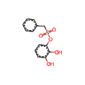 O=S(=O)(Cc1ccccc1)Oc1cccc(O)c1O